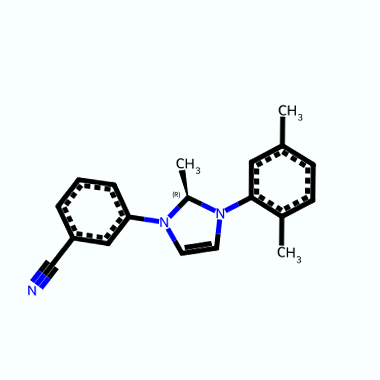 Cc1ccc(C)c(N2C=CN(c3cccc(C#N)c3)[C@H]2C)c1